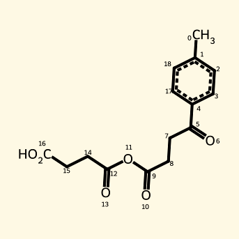 Cc1ccc(C(=O)CCC(=O)OC(=O)CCC(=O)O)cc1